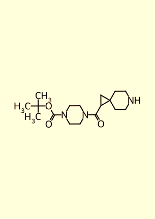 CC(C)(C)OC(=O)N1CCN(C(=O)C2CC23CCNCC3)CC1